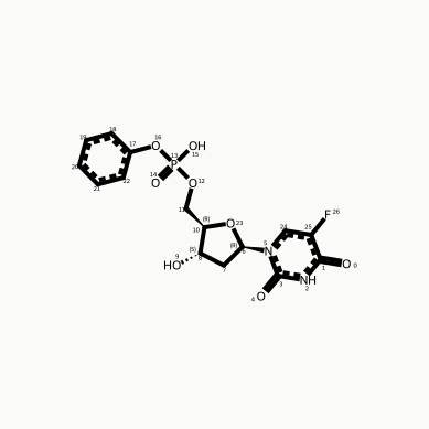 O=c1[nH]c(=O)n([C@H]2C[C@H](O)[C@@H](COP(=O)(O)Oc3ccccc3)O2)cc1F